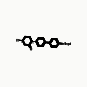 CCCCCCCc1ccc(-c2ccc([C@H]3CC[C@H](CC)CC3=O)cc2)cc1